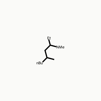 CCCCC(C)CC(CC)NC